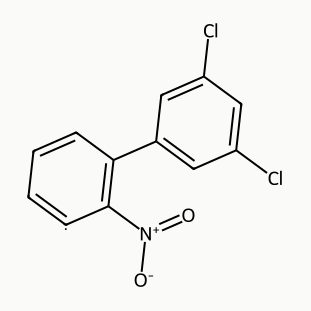 O=[N+]([O-])c1[c]cccc1-c1cc(Cl)cc(Cl)c1